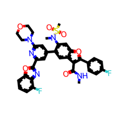 CNC(=O)c1c(-c2ccc(F)cc2)oc2cc(N(C)S(C)(=O)=O)c(-c3cc(-c4nc5c(F)cccc5o4)nc(N4CCOCC4)c3)cc12